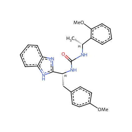 COc1ccc(C[C@@H](NC(=O)N[C@H](C)c2ccccc2OC)c2nc3ccccc3[nH]2)cc1